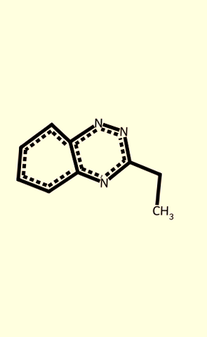 CCc1nnc2ccccc2n1